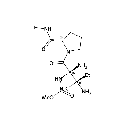 CC[C@](C)(N)[C@](N)(NC(=O)OC)C(=O)N1CCC[C@H]1C(=O)NI